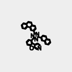 c1ccc2cc(-c3nc(-c4ccc5ccc6ccccc6c5c4)nc(-c4cccc5oc6cnccc6c45)n3)ccc2c1